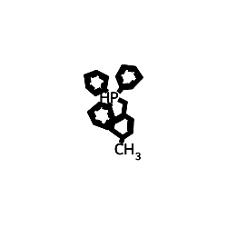 CC1C=CC(C[PH](c2ccccc2)(c2ccccc2)c2ccccc2)=CC1